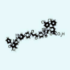 CC(=O)c1c(C)c2cnc(Nc3ccc(N4CCN(C(=O)CCC(=O)N5CCN(S(=O)(=O)CC(N6C(=O)[C@@](C)(CC(=O)O)C[C@H](c7cccc(Cl)c7)[C@H]6c6ccc(Cl)cc6)C(C)(C)C)CC5)CC4)cn3)nc2n(C2CCCC2)c1=O